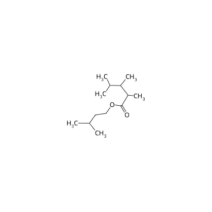 CC(C)CCOC(=O)C(C)C(C)C(C)C